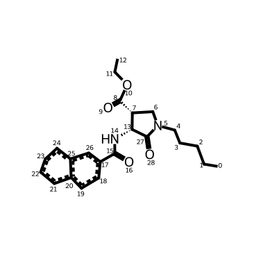 CCCCCN1C[C@@H](C(=O)OCC)[C@@H](NC(=O)c2ccc3ccccc3c2)C1=O